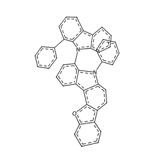 c1ccc(-c2cccc3c4ccccc4n(-c4cccc5c6c7oc8ccccc8c7ccc6n(-c6ccccc6)c45)c23)cc1